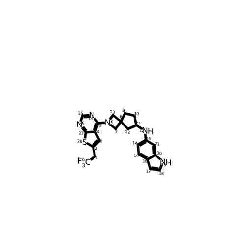 FC(F)(F)Cc1cc2c(N3CC4(CCC(Nc5ccc6cc[nH]c6c5)C4)C3)ncnc2s1